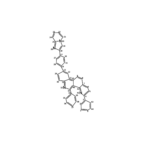 c1ccc(-c2ccc3ccc4c5cc(-c6ccc(-c7cn8ccccc8n7)cc6)ccc5nc(-c5ccccc5)c4c3n2)cc1